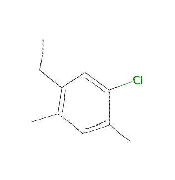 CCc1cc(Cl)c(C)cc1C